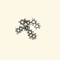 C1=CCC(c2cccc(-c3cc(-c4nc(-c5ccc6ccccc6c5)nc(-c5ccc6c(ccc7ccccc76)c5)n4)c4c(c3)sc3ccccc34)c2)C=C1